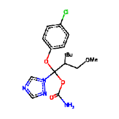 COCC(C(C)(C)C)C(OC(N)=O)(Oc1ccc(Cl)cc1)n1cncn1